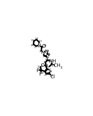 C[C@H]1C[C@@]2(C[C@@H](c3cn(CC(=O)N4CCCCC4)nn3)N1)OCC(F)(F)c1cc(Cl)sc12